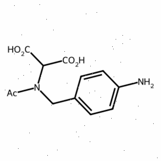 CC(=O)N(Cc1ccc(N)cc1)C(C(=O)O)C(=O)O